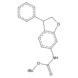 CC(C)(C)OC(=O)Nc1ccc2c(c1)OCC2c1ccccc1